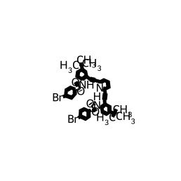 CC(C)(C)c1ccc(NS(=O)(=O)c2ccc(Br)cc2)c(C#Cc2cccc(C#Cc3cc(C(C)(C)C)ccc3NS(=O)(=O)c3ccc(Br)cc3)n2)c1